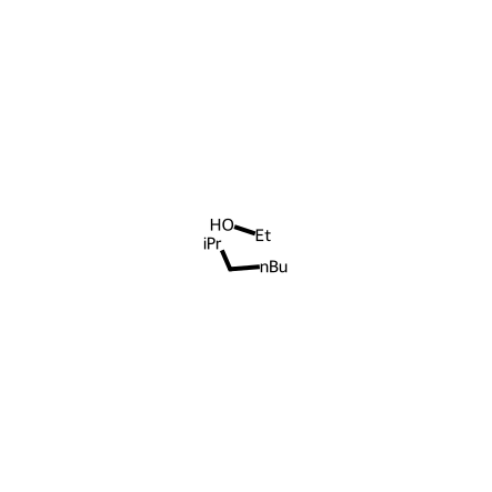 CCCCCC(C)C.CCO